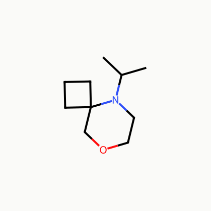 CC(C)N1CCOCC12CCC2